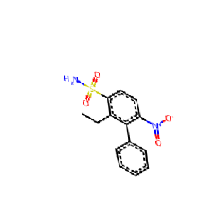 CCc1c(S(N)(=O)=O)ccc([N+](=O)[O-])c1-c1ccccc1